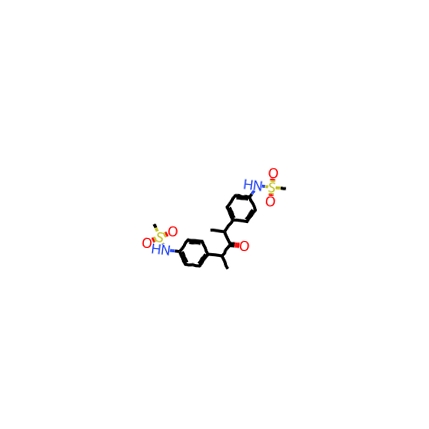 CC(C(=O)C(C)c1ccc(NS(C)(=O)=O)cc1)c1ccc(NS(C)(=O)=O)cc1